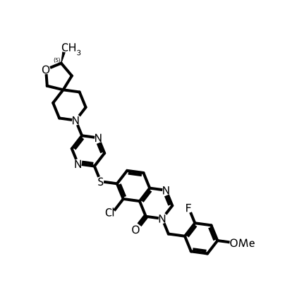 COc1ccc(Cn2cnc3ccc(Sc4cnc(N5CCC6(CC5)CO[C@@H](C)C6)cn4)c(Cl)c3c2=O)c(F)c1